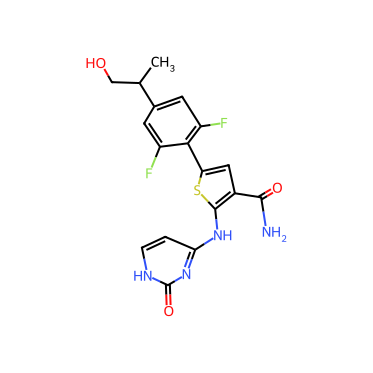 CC(CO)c1cc(F)c(-c2cc(C(N)=O)c(Nc3cc[nH]c(=O)n3)s2)c(F)c1